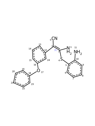 N#C/C(=C(\N)Sc1ccccc1N)c1cccc(Oc2ccccc2)c1